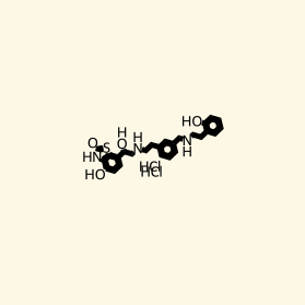 Cl.Cl.O=c1[nH]c2c(O)ccc(C(O)CNCCc3cccc(CNCCc4ccccc4O)c3)c2s1